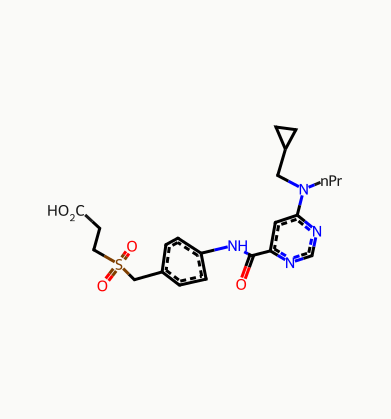 CCCN(CC1CC1)c1cc(C(=O)Nc2ccc(CS(=O)(=O)CCC(=O)O)cc2)ncn1